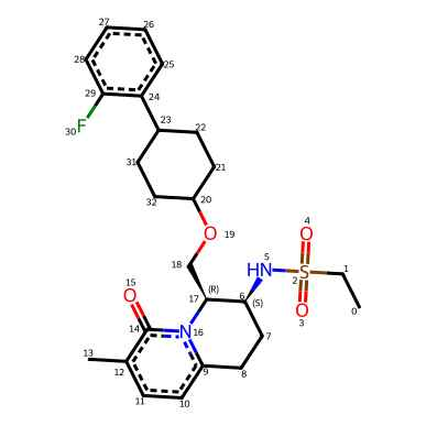 CCS(=O)(=O)N[C@H]1CCc2ccc(C)c(=O)n2[C@H]1COC1CCC(c2ccccc2F)CC1